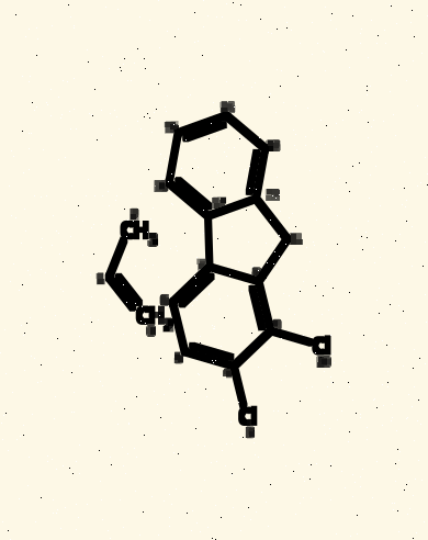 C=CC.Clc1ccc2c(c1Cl)Cc1ccccc1-2